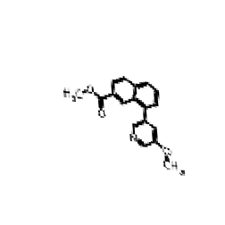 COC(=O)c1ccc2cccc(-c3cncc(OC)c3)c2c1